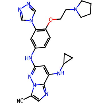 N#Cc1cnc2c(NC3CC3)cc(Nc3ccc(OCCN4CCCC4)c(-n4cnnc4)c3)nn12